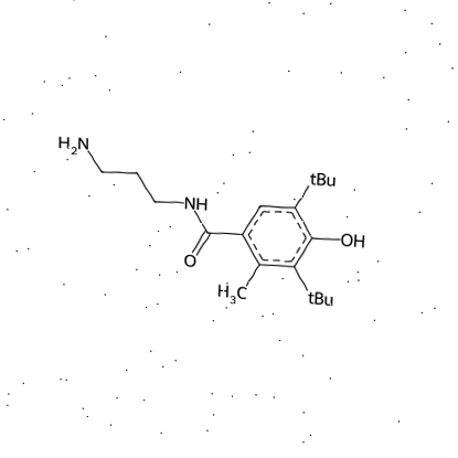 Cc1c(C(=O)NCCCN)cc(C(C)(C)C)c(O)c1C(C)(C)C